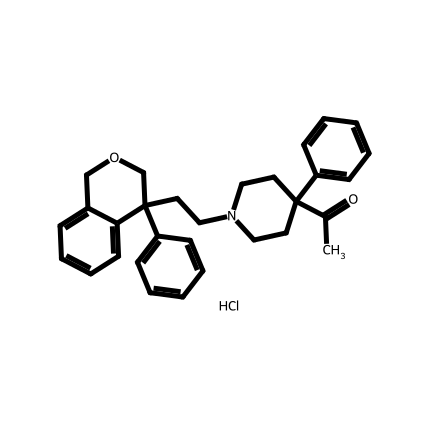 CC(=O)C1(c2ccccc2)CCN(CCC2(c3ccccc3)COCc3ccccc32)CC1.Cl